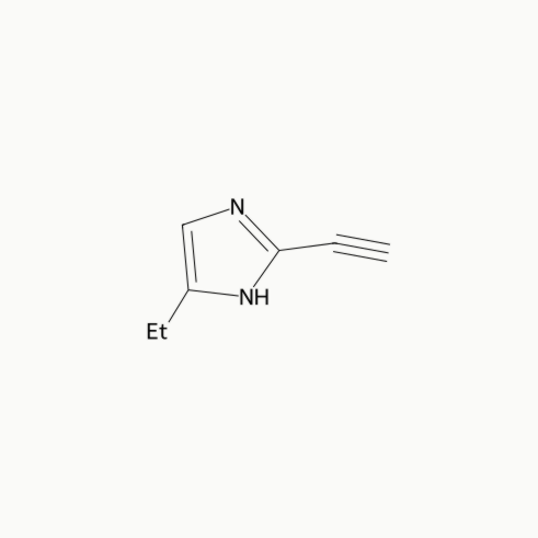 C#Cc1ncc(CC)[nH]1